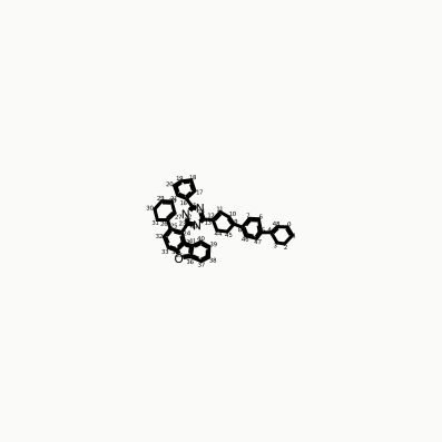 C1=CCCC(c2ccc(C3=CC=C(c4nc(-c5ccccc5)nc(-c5c(C6=CC=CCC6)ccc6oc7ccccc7c56)n4)CC3)cc2)=C1